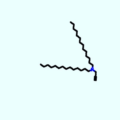 C#CCN(CCCCCCCCCCCCCC)CCCCCCCCCCCCCC